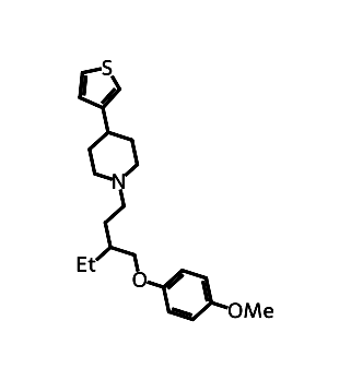 CCC(CCN1CCC(c2ccsc2)CC1)COc1ccc(OC)cc1